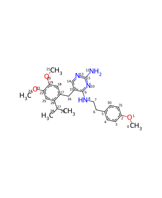 COc1ccc(CCNc2nc(N)ncc2Cc2cc(OC)c(OC)cc2C(C)C)cc1